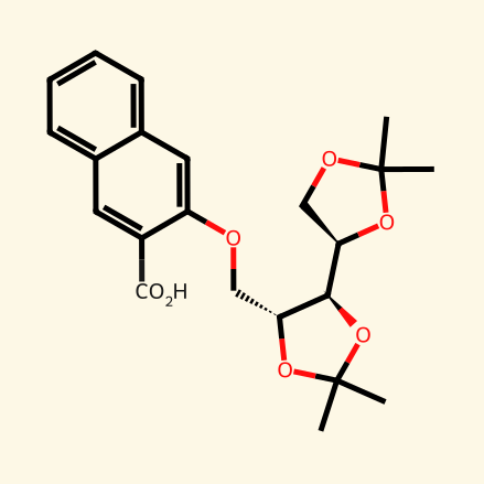 CC1(C)OC[C@H]([C@H]2OC(C)(C)O[C@@H]2COc2cc3ccccc3cc2C(=O)O)O1